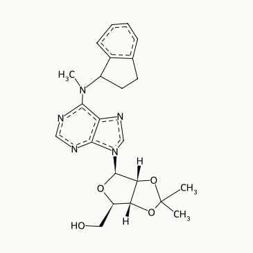 CN(c1ncnc2c1ncn2[C@@H]1O[C@H](CO)[C@H]2OC(C)(C)O[C@H]21)C1CCc2ccccc21